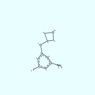 Nc1cc(I)cc(OC2COC2)c1